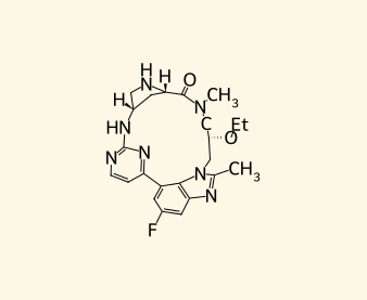 CCO[C@H]1CN(C)C(=O)[C@@H]2C[C@@H](CN2)Nc2nccc(n2)-c2cc(F)cc3nc(C)n(c23)C1